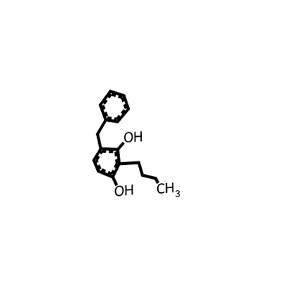 CCCCc1c(O)ccc(Cc2ccccc2)c1O